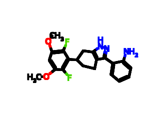 COc1cc(OC)c(F)c(C2CCc3c(-c4ccccc4N)n[nH]c3C2)c1F